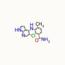 Cc1ccc(C(N)=O)cc1Nc1c(Cl)cnc2[nH]ccc12